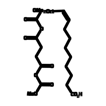 CCCCCCCC/C=C\CCCCCCCC(=O)O.COC(=O)OC(=O)CCC(=O)OC(=O)OC